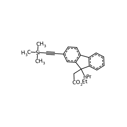 CCCC1(CC(=O)OCC)c2ccccc2-c2ccc(C#C[Si](C)(C)C)cc21